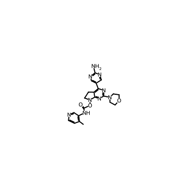 Cc1ccncc1NC(=O)ON1CCc2c(-c3cnc(N)nc3)nc(N3CCOCC3)nc21